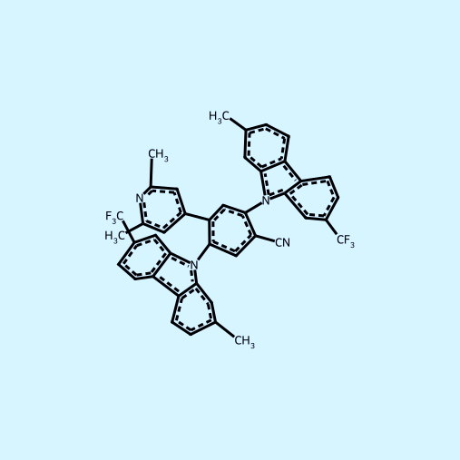 Cc1ccc2c3ccc(C(F)(F)F)cc3n(-c3cc(-c4cc(C)nc(C)c4)c(-n4c5cc(C)ccc5c5ccc(C(F)(F)F)cc54)cc3C#N)c2c1